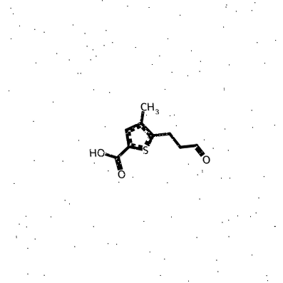 Cc1cc(C(=O)O)sc1CCC=O